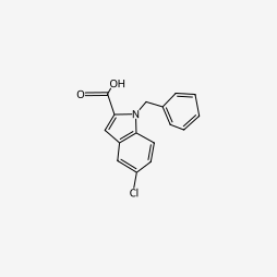 O=C(O)c1cc2cc(Cl)ccc2n1Cc1ccccc1